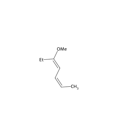 C/C=C\C=C(/CC)OC